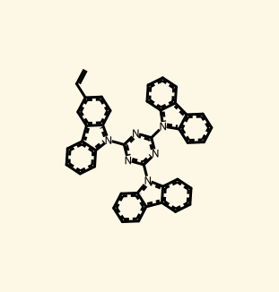 C=Cc1ccc2c(c1)c1ccccc1n2-c1nc(-n2c3ccccc3c3ccccc32)nc(-n2c3ccccc3c3ccccc32)n1